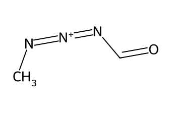 CN=[N+]=NC=O